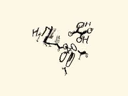 CCOP(=O)(OCC)OCCCN.O=C(O)C(=O)O